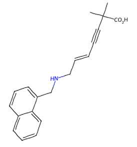 CC(C)(C#CC=CCNCc1cccc2ccccc12)C(=O)O